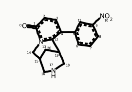 O=c1ccc(-c2cccc([N+](=O)[O-])c2)c2n1CC1CNCC2C1